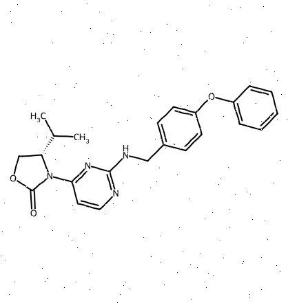 CC(C)[C@H]1COC(=O)N1c1ccnc(NCc2ccc(Oc3ccccc3)cc2)n1